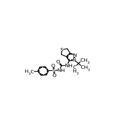 Cc1ccc(S(=O)(=O)NC(=O)Nc2c3c(nn2C(C)(C)C)CSC3)cc1